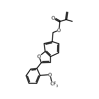 C=C(C)C(=O)OCc1ccc2cc(-c3ccccc3OC(F)(F)F)oc2c1